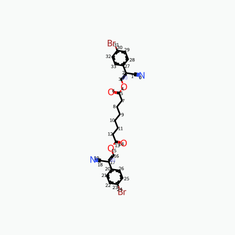 N#C/C(=C\OC(=O)CCCCCCC(=O)O/C=C(\C#N)c1ccc(Br)cc1)c1ccc(Br)cc1